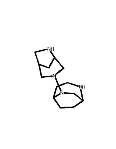 C1CC2CCC(CN2N2CC3CNC(C3)C2)N1